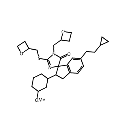 COC1CCCC(C2Cc3ccc(CCC4CC4)cc3C23N=C(SCC2CCO2)N(CC2CCO2)C3=O)C1